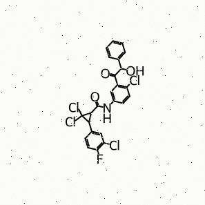 O=C(c1cc(NC(=O)C2C(c3ccc(F)c(Cl)c3)C2(Cl)Cl)ccc1Cl)C(O)c1ccccc1